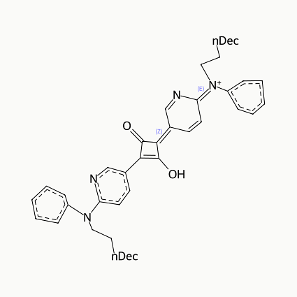 CCCCCCCCCCCCN(c1ccccc1)c1ccc(C2=C(O)/C(=C3C=C/C(=[N+](/CCCCCCCCCCCC)c4ccccc4)N=C\3)C2=O)cn1